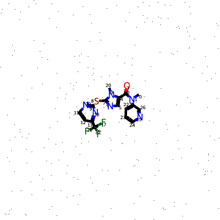 CN(C(=O)c1cnc(Sc2nccc(C(F)(F)F)n2)n1C)c1cccnc1